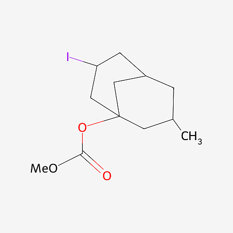 COC(=O)OC12CC(C)CC(CC(I)C1)C2